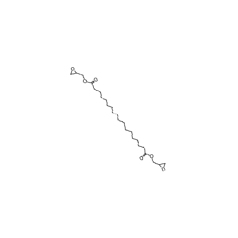 O=C(CCCCCCCCCCCCCCCCC(=O)OCC1CO1)OCC1CO1